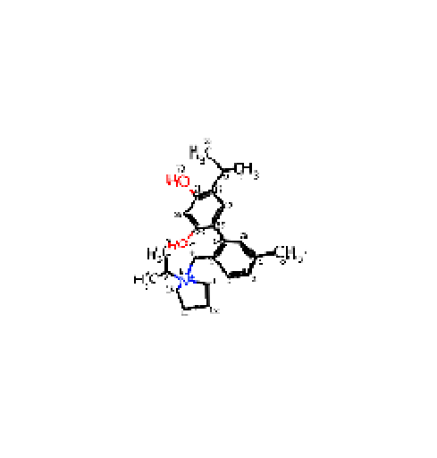 [CH2]c1ccc(C[N+]2(C(C)C)CCCC2)c(-c2cc(C(C)C)c(O)cc2O)c1